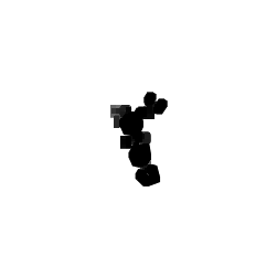 CCN(CC)N=Cc1cc(C(=O)Nc2ccc(N3CCCC3)cc2)cc(F)c1O